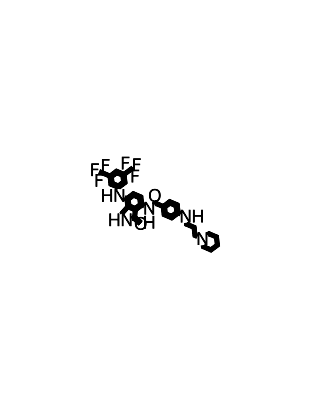 O=C(Nc1ccc(Nc2cc(C(F)(F)F)cc(C(F)(F)F)c2)c2c1C(=O)NC2)c1ccc(NCCCN2CCCCC2)cc1